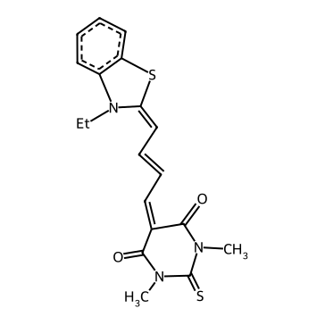 CCN1C(=CC=CC=C2C(=O)N(C)C(=S)N(C)C2=O)Sc2ccccc21